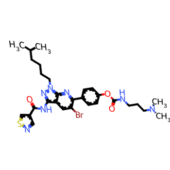 CC(C)CCCCn1nc(NC(=O)c2cnsc2)c2cc(Br)c(-c3ccc(OC(=O)NCCCN(C)C)cc3)nc21